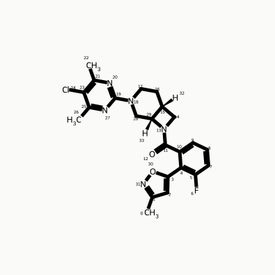 Cc1cc(-c2c(F)cccc2C(=O)N2C[C@H]3CCN(c4nc(C)c(Cl)c(C)n4)C[C@H]32)on1